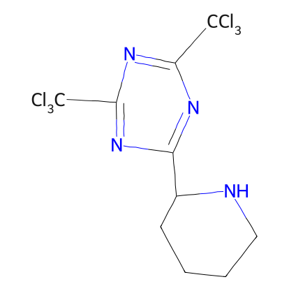 ClC(Cl)(Cl)c1nc(C2CCCCN2)nc(C(Cl)(Cl)Cl)n1